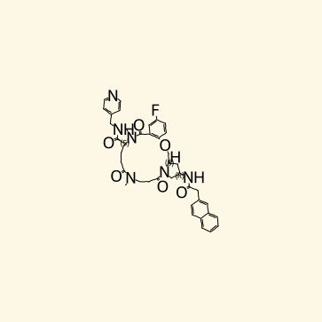 CN1CCC(=O)N2C[C@H](NC(=O)Cc3ccc4ccccc4c3)C[C@H]2COc2ccc(F)cc2C(=O)N(C)[C@H](C(=O)NCc2ccncc2)CCC1=O